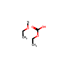 CCOC(=O)O.CC[O][Ti]